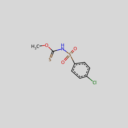 COC(=S)NS(=O)(=O)c1ccc(Cl)cc1